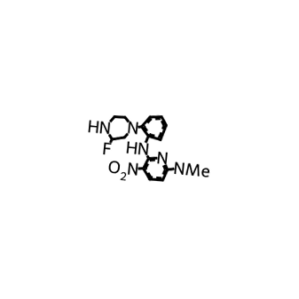 CNc1ccc([N+](=O)[O-])c(Nc2ccccc2N2CCNC(F)C2)n1